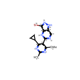 COc1nc(C)nc(C2CC2)c1-c1ncc2[nH]nc(Br)c2n1